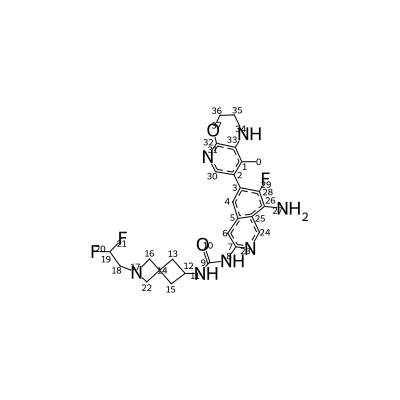 Cc1c(-c2cc3cc(NC(=O)NC4CC5(C4)CN(CC(F)F)C5)ncc3c(N)c2F)cnc2c1NCCO2